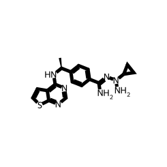 C[C@H](Nc1ncnc2sccc12)c1ccc(/C(N)=N/N(N)C2CC2)cc1